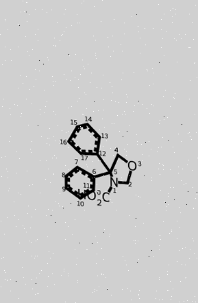 O=C(O)N1COCC1(c1ccccc1)c1ccccc1